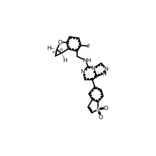 O=S1(=O)C=Cc2cc(-c3cnc(NCc4c(F)ccc5c4[C@H]4C[C@H]4O5)n4cnnc34)ccc21